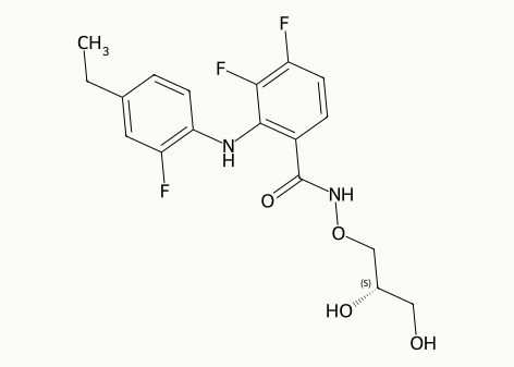 CCc1ccc(Nc2c(C(=O)NOC[C@@H](O)CO)ccc(F)c2F)c(F)c1